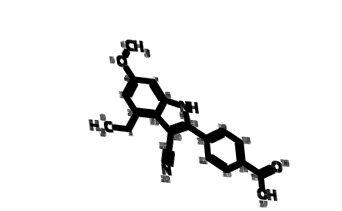 CCc1cc(OC)cc2[nH]c(-c3ccc(C(=O)O)cc3)c(C#N)c12